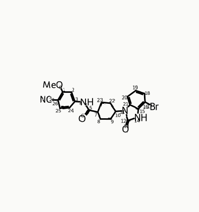 COc1cc(NC(=O)C2CCC(n3c(=O)[nH]c4c(Br)cccc43)CC2)ccc1C#N